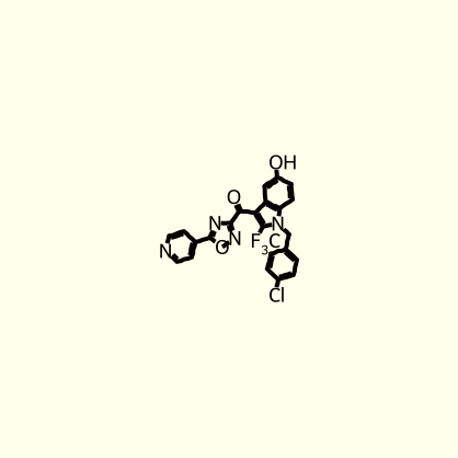 O=C(c1noc(-c2ccncc2)n1)c1c(C(F)(F)F)n(Cc2ccc(Cl)cc2)c2ccc(O)cc12